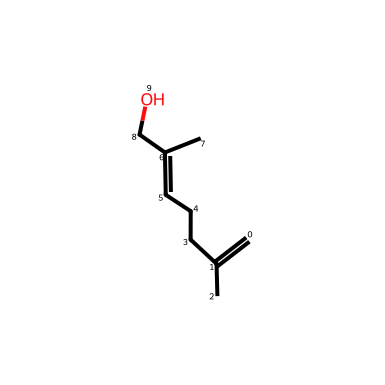 C=C(C)CC/C=C(\C)CO